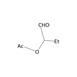 CCC([C]=O)OC(C)=O